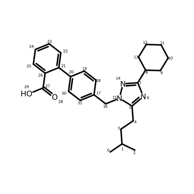 CC(C)CCc1nc(C2CCCCC2)nn1Cc1ccc(-c2ccccc2C(=O)O)cc1